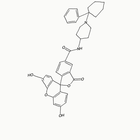 O=C(NC1CCN(C2(c3ccccc3)CCCCC2)CC1)c1ccc2c(c1)C(=O)OC21c2ccc(O)cc2Oc2cc(O)ccc21